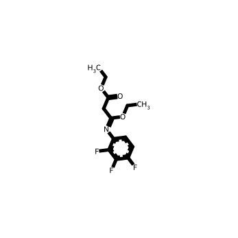 CCOC(=O)CC(=Nc1ccc(F)c(F)c1F)OCC